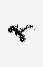 NCCCC[C@H](N)CN(CC(=O)NCc1cccc2ccccc12)C(=O)c1ccc2ccccc2c1